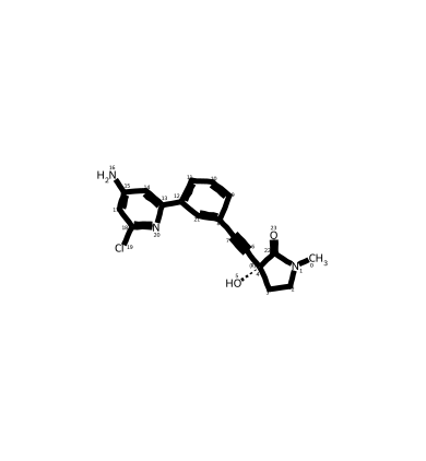 CN1CC[C@@](O)(C#Cc2cccc(-c3cc(N)cc(Cl)n3)c2)C1=O